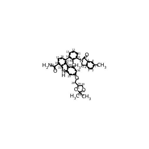 Cc1ccc2c(c1)C(=O)N(c1cccc(-c3ccc(C(N)=O)c4[nH]c5cc(OCC6COC(C)(C)O6)ccc5c34)c1C)C2